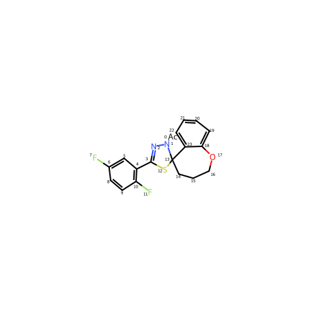 CC(=O)N1N=C(c2cc(F)ccc2F)SC12CCCOc1ccccc12